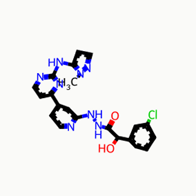 Cn1nccc1Nc1nccc(-c2ccnc(NNC(=O)C(O)c3cccc(Cl)c3)c2)n1